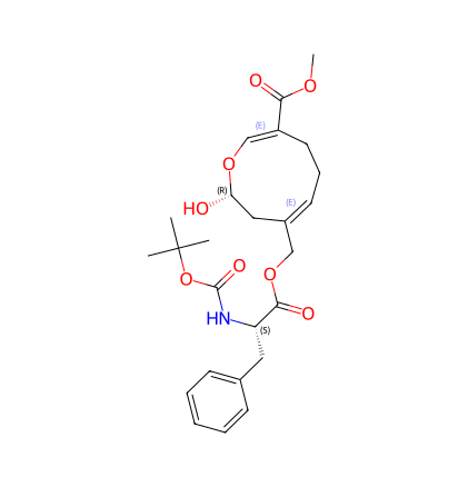 COC(=O)/C1=C/O[C@@H](O)C/C(COC(=O)[C@H](Cc2ccccc2)NC(=O)OC(C)(C)C)=C\CC1